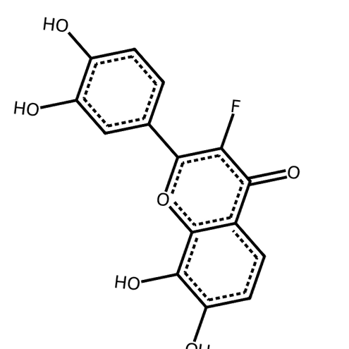 O=c1c(F)c(-c2ccc(O)c(O)c2)oc2c(O)c(O)ccc12